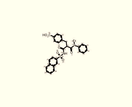 CCN(C(=O)C(Cc1ccc(C(=O)O)cc1)C(=O)NS(=O)(=O)c1ccc2ccccc2c1)c1ccccc1